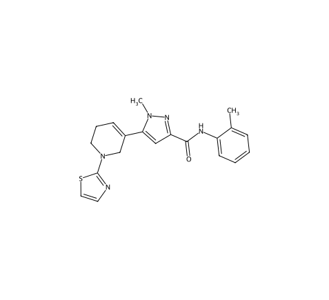 Cc1ccccc1NC(=O)c1cc(C2=CCCN(c3nccs3)C2)n(C)n1